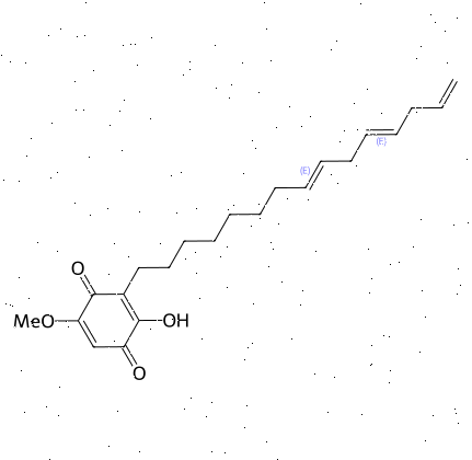 C=CC/C=C/C/C=C/CCCCCCCC1=C(O)C(=O)C=C(OC)C1=O